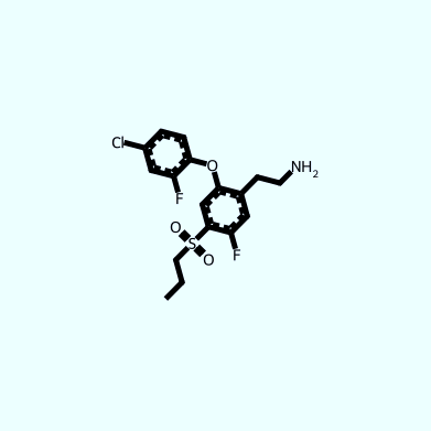 CCCS(=O)(=O)c1cc(Oc2ccc(Cl)cc2F)c(CCN)cc1F